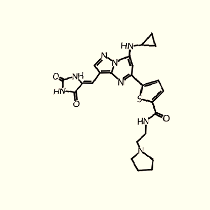 O=C1NC(=O)/C(=C/c2cnn3c(NC4CC4)cc(-c4ccc(C(=O)NCCN5CCCC5)s4)nc23)N1